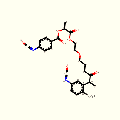 CC(OC(=O)c1ccc(N=C=O)cc1)C(=O)OCCOCCCC(=O)C(C)c1cc(N=C=O)ccc1C(=O)O